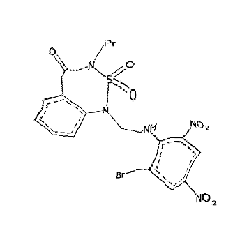 CC(C)N1C(=O)c2ccccc2N(CNc2c(Br)cc([N+](=O)[O-])cc2[N+](=O)[O-])S1(=O)=O